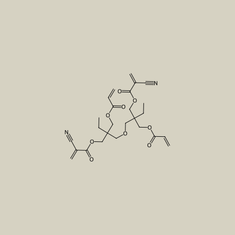 C=CC(=O)OCC(CC)(COCC(CC)(COC(=O)C=C)COC(=O)C(=C)C#N)COC(=O)C(=C)C#N